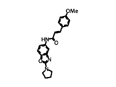 COc1ccc(/C=C/C(=O)Nc2ccc3oc(N4CCCC4)nc3c2)cc1